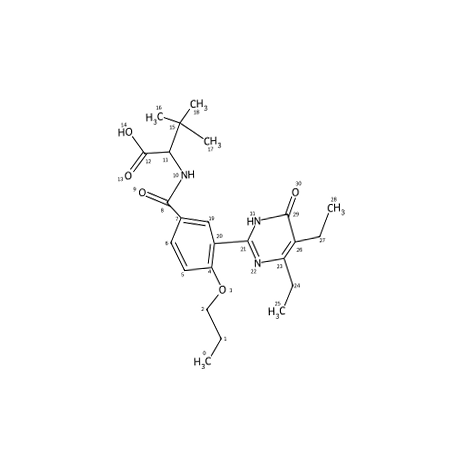 CCCOc1ccc(C(=O)NC(C(=O)O)C(C)(C)C)cc1-c1nc(CC)c(CC)c(=O)[nH]1